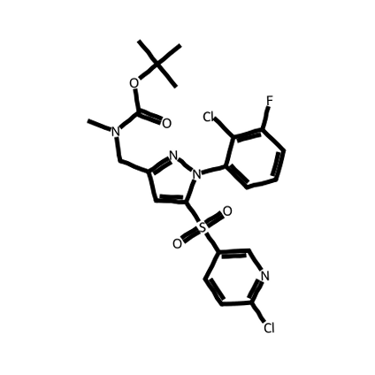 CN(Cc1cc(S(=O)(=O)c2ccc(Cl)nc2)n(-c2cccc(F)c2Cl)n1)C(=O)OC(C)(C)C